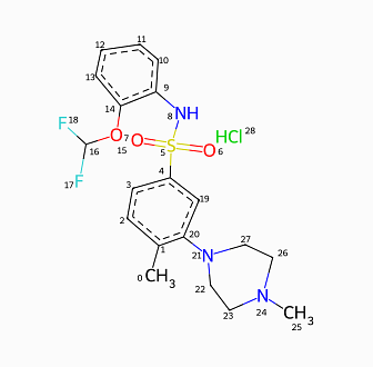 Cc1ccc(S(=O)(=O)Nc2ccccc2OC(F)F)cc1N1CCN(C)CC1.Cl